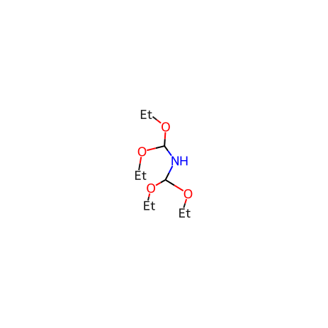 CCOC(NC(OCC)OCC)OCC